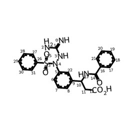 N=C(N)NN(c1cccc(C(CC(=O)O)NC(=O)c2ccccc2)c1)S(=O)(=O)c1ccccc1